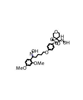 COc1ccc(/C(CCCCOc2ccc(S(=O)(=O)C3(C(=O)NO)CCOCC3)cc2)=N/O)c(OC)c1